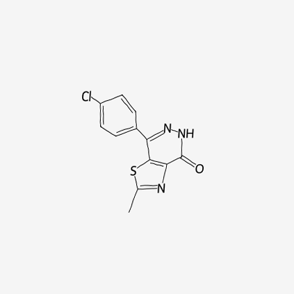 Cc1nc2c(=O)[nH]nc(-c3ccc(Cl)cc3)c2s1